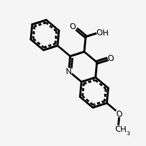 COc1ccc2c(c1)C(=O)C(C(=O)O)C(c1ccccc1)=N2